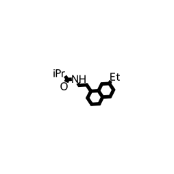 CCC1CCC2CCCC(CCNC(=O)C(C)C)C2C1